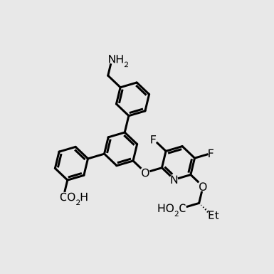 CC[C@@H](Oc1nc(Oc2cc(-c3cccc(CN)c3)cc(-c3cccc(C(=O)O)c3)c2)c(F)cc1F)C(=O)O